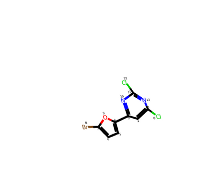 Clc1cc(-c2ccc(Br)o2)nc(Cl)n1